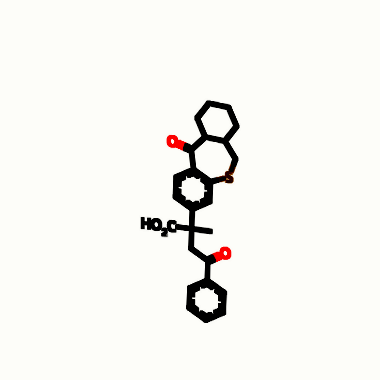 CC(CC(=O)c1ccccc1)(C(=O)O)c1ccc2c(c1)SCC1CCCCC1C2=O